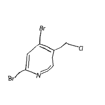 ClCc1cnc(Br)cc1Br